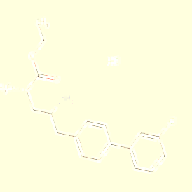 CCOC(=O)[C@@H](C)CC(N)Cc1ccc(-c2cccc(Cl)c2)cc1.Cl